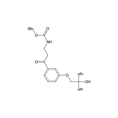 CCCC(O)(CCC)COc1cccc(C(=O)CCNC(=O)OC(C)(C)C)c1